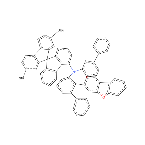 CC(C)(C)c1ccc2c(c1)C1(c3cc(C(C)(C)C)ccc3-2)c2ccccc2-c2c(N(c3cccc(-c4ccccc4)c3)c3cccc(-c4ccccc4)c3-c3ccc4c(c3)oc3ccccc34)cccc21